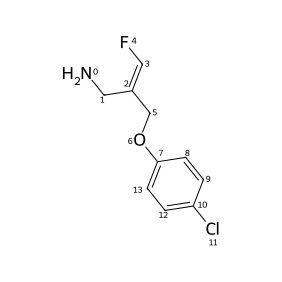 NC/C(=C\F)COc1ccc(Cl)cc1